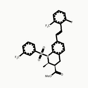 COC(=O)[C@@H]1Cc2ccc(/C=C/c3c(F)cccc3C(F)(F)F)cc2N(S(=O)(=O)c2cccc(C(F)(F)F)c2)[C@@H]1C